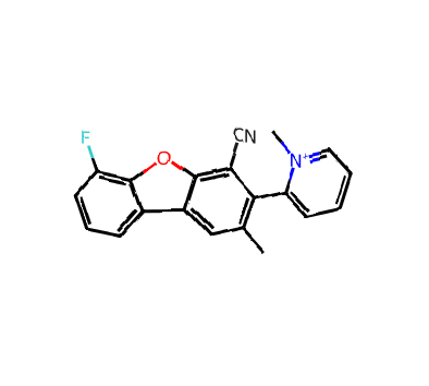 Cc1cc2c(oc3c(F)cccc32)c(C#N)c1-c1cccc[n+]1C